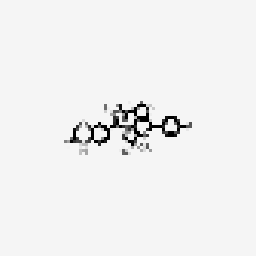 C[C@]1(C(N)=O)COc2c1cc([C@@](O)(CNC(=O)c1ccc3c(c1)OCC(=O)N3)C(F)(F)F)nc2-c1ccc(F)cc1